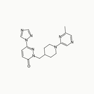 Cc1cncc(N2CCC(Cn3nc(-n4cncn4)ccc3=O)CC2)n1